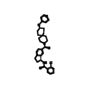 O=C(NC1CCc2ccc(C(=O)N3CCC4(CCC(Oc5ccncc5)CC4)CC3)cc21)c1ccccc1Cl